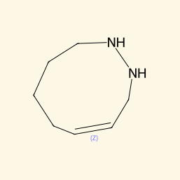 C1=C\CNNCCCC/1